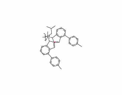 [CH2]=[Hf]([CH3])([CH3])([CH3])([CH2]C(C)C)([CH]1C=Cc2c(-c3ccc(C)cc3)cccc21)[CH]1C=Cc2c(-c3ccc(C)cc3)cccc21